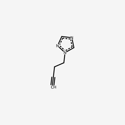 C#CCCn1cncn1